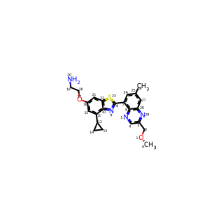 COCc1cnc2c(-c3nc4c(C5CC5)cc(OCCN)cc4s3)cc(C)cc2n1